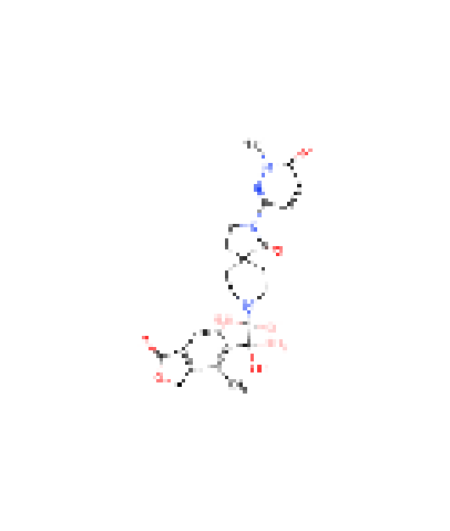 BC(B)(N1CCC2(CCN(c3ccc(=O)n(C)n3)C2=O)CC1)[C@](B)(O)c1ccc2c(c1C)COC2=O